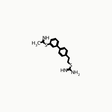 CC(=N)Sc1cccc(-c2ccc(CCSC(=N)N)cc2)c1